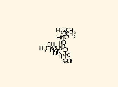 CC(C)c1ccc2c(Nc3cc(C(=O)N[C@H]4CCc5ccccc54)ccc3-c3ccc(NC(=O)OC(C)(C)C)cc3)ncnc2n1